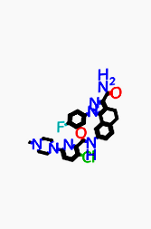 CN1CCN(c2ccc(Cl)c(C(=O)Nc3ccc4c(c3)-c3c(c(C(N)=O)nn3-c3ccc(F)cc3)CC4)n2)CC1